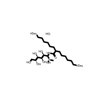 CCCCCCCCCCCCCCCCC(CCCCCCCCCCCCCCCC)C(=O)NC([C@H](O)[C@@H](O)[C@H](O)[C@H](O)CO)N(C)CCC.Cl